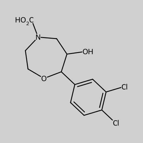 O=C(O)N1CCOC(c2ccc(Cl)c(Cl)c2)C(O)C1